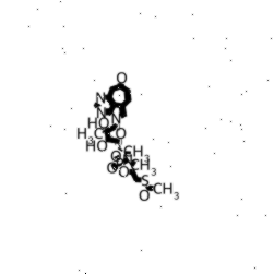 CC(=O)SCCOP(=O)(OC[C@H]1O[C@@H](n2cc3c4c(ncnc42)CC(=O)C=C3)[C@](C)(O)[C@@H]1O)N(C)C